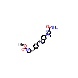 Cc1cc(C(N)=O)nn1-c1ccc2c(ccn2Cc2ccc(C[C@@H]3CCN(C(=O)OC(C)(C)C)C3)cc2)c1